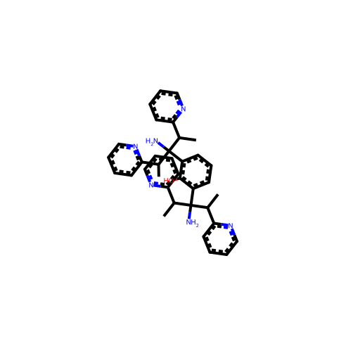 CC(c1ccccn1)C(N)(c1cccc(C(N)(C(C)c2ccccn2)C(C)c2ccccn2)c1O)C(C)c1ccccn1